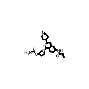 C=CC(=O)Nc1ccc2c(N3CCC(OC(N)=O)C3)nc(C3CCN(C)CC3)cc2c1